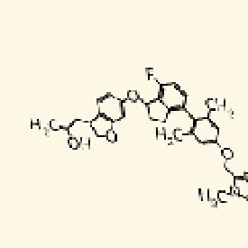 C=C(O)C[C@@H]1COc2cc(O[C@@H]3CCc4c(-c5c(C)cc(OCc6nccn6C)cc5C)ccc(F)c43)ccc21